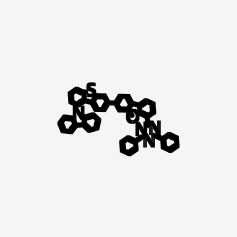 c1ccc(-c2nc(-c3ccccc3)nc(-c3cccc4c3oc3cc(-c5ccc6c(c5)sc5cccc(-n7c8ccccc8c8ccccc87)c56)ccc34)n2)cc1